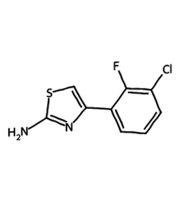 Nc1nc(-c2cccc(Cl)c2F)cs1